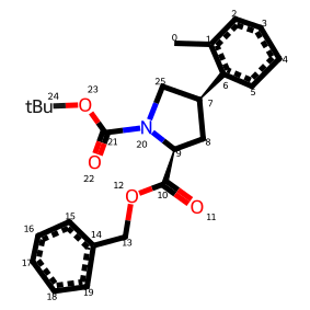 Cc1ccccc1[C@H]1C[C@@H](C(=O)OCc2ccccc2)N(C(=O)OC(C)(C)C)C1